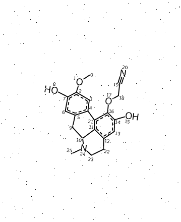 COc1cc2c(cc1O)CC1c3c(cc(O)c(OCC#N)c3-2)CCN1C